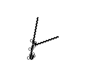 CCCCCCCCCCCCCCCCCC(=O)OC[C@H](COC(=O)CCC(=O)ON1C(=O)CCC1=O)OC(=O)CCCCCCCCCCCCCCCCC